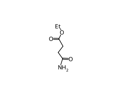 CCOC(=O)CCC(N)=O